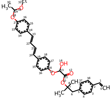 C=Cc1ccc(CC(C)(C)OC(=O)C(O)Oc2ccc(C=CC=Cc3ccc(OC(C)OCC)cc3)cc2)cc1